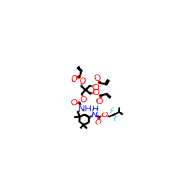 C=CC(=O)OCC(COC(=O)C=C)(COC(=O)C=C)COC(=O)NCC1(C)CC(NC(=O)OCC(F)(F)C(C)C)CC(C)(C)C1